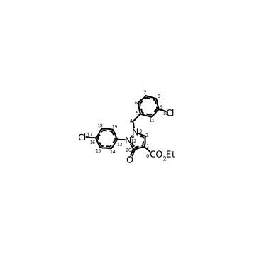 CCOC(=O)c1cn(Cc2cccc(Cl)c2)n(-c2ccc(Cl)cc2)c1=O